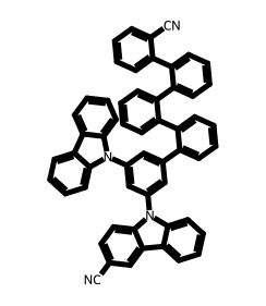 N#Cc1ccc2c(c1)c1ccccc1n2-c1cc(-c2ccccc2-c2ccccc2-c2ccccc2-c2ccccc2C#N)cc(-n2c3ccccc3c3ccccc32)c1